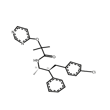 C[C@H](NC(=O)C(C)(C)Oc1ccncn1)[C@@H](Cc1ccc(Cl)cc1)c1ccccc1